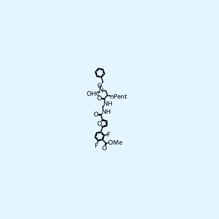 CCCCCC(CN(C=O)OCc1ccccc1)C(=O)NCNC(=O)c1ccc(-c2ccc(F)c(C(=O)OC)c2F)o1